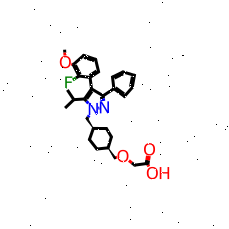 COc1cccc(-c2c(-c3ccccc3)nn(C[C@H]3CC[C@@H](COCC(=O)O)CC3)c2C(C)C)c1F